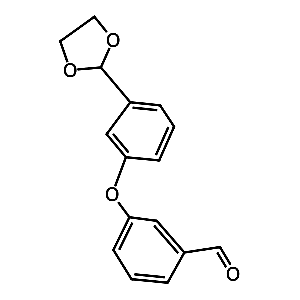 O=Cc1cccc(Oc2cccc(C3OCCO3)c2)c1